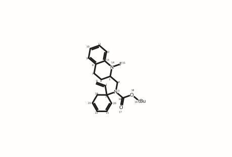 C=CC1(N(CC2CCc3ccccc3N2F)C(=O)OC(C)(C)C)C=CC=CC1